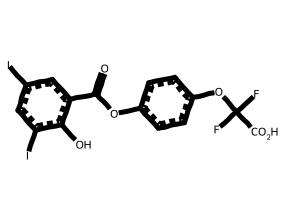 O=C(Oc1ccc(OC(F)(F)C(=O)O)cc1)c1cc(I)cc(I)c1O